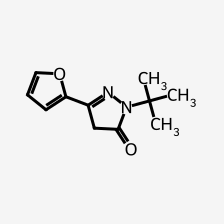 CC(C)(C)N1N=C(c2ccco2)CC1=O